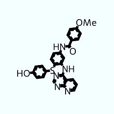 COc1ccc(C(=O)Nc2ccc(Sc3ccc(O)cc3)c(Nc3ncnc4ncccc34)c2)cc1